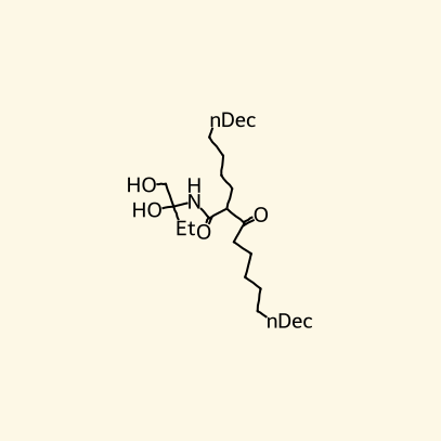 CCCCCCCCCCCCCCCC(=O)C(CCCCCCCCCCCCCC)C(=O)NC(O)(CC)CO